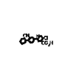 [C-]#[N+]c1cc(-c2cc(C(=O)O)c(Cl)cn2)ccc1-c1ccccc1